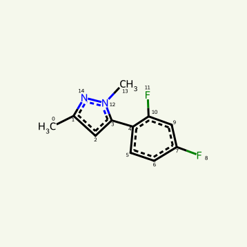 Cc1cc(-c2ccc(F)cc2F)n(C)n1